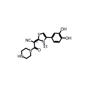 CCN1C(c2ccc(O)c(O)c2)=CS/C1=C(\C#N)C(=O)N1CCNCC1